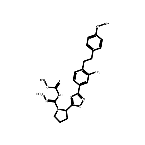 CCCOc1ccc(CCc2ccc(-c3noc(C4CCCN4C(=NC(=O)O)NC(=O)OC(C)(C)C)n3)cc2C(F)(F)F)cc1